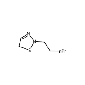 CCCCCN1N=CCS1